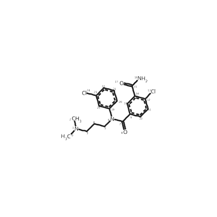 CN(C)CCCN(C(=O)c1ccc(Cl)c(C(N)=O)c1)c1cccc(Cl)c1